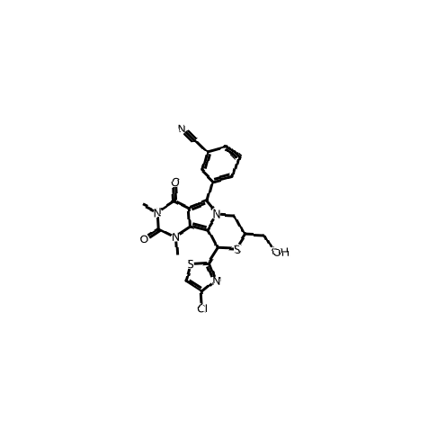 Cn1c(=O)c2c(-c3cccc(C#N)c3)n3c(c2n(C)c1=O)C(c1nc(Cl)cs1)SC(CO)C3